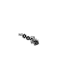 N#Cc1ccc(-c2ccc(C[C@@H](C#N)NC(=O)[C@@H]3C[C@@H]4CCC[C@@H]4N3)cc2)cc1